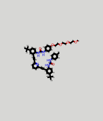 COCCOCCOCCOc1ccc(NC(=O)Nc2ccc(C(C)(C)C)cc2C#Cc2cccc(C#Cc3cc(C(C)(C)C)ccc3NC(=O)Nc3ccc(C)cc3)n2)cc1